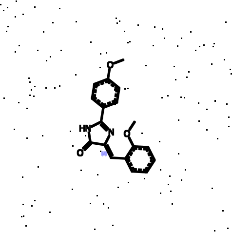 COc1ccc(C2=N/C(=C\c3ccccc3OC)C(=O)N2)cc1